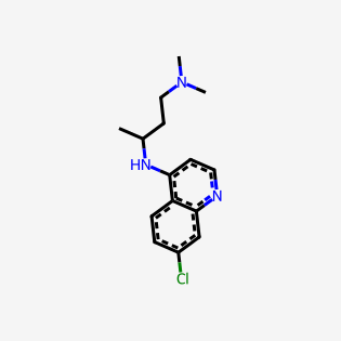 CC(CCN(C)C)Nc1ccnc2cc(Cl)ccc12